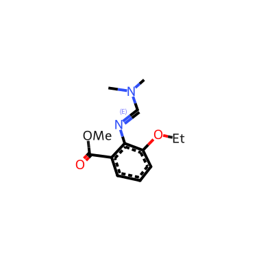 CCOc1cccc(C(=O)OC)c1/N=C/N(C)C